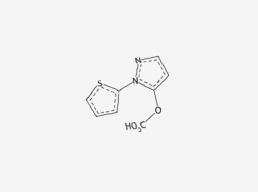 O=C(O)Oc1ccnn1-c1cccs1